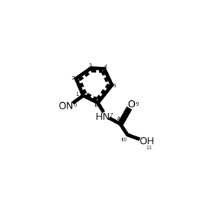 O=Nc1ccccc1NC(=O)CO